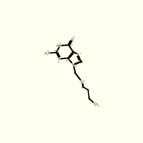 CCCCOCn1cnc2c(=O)[nH]c(N)nc21